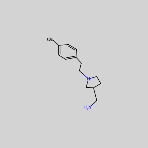 CC(C)(C)c1ccc(CCN2CCC(CN)C2)cc1